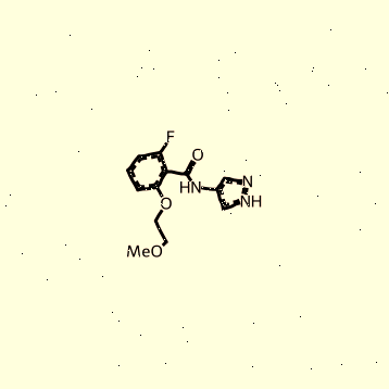 COCCOc1cccc(F)c1C(=O)Nc1cn[nH]c1